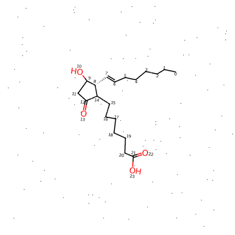 CCCCCC/C=C/[C@H]1C(O)CC(=O)C1CCCCCCC(=O)O